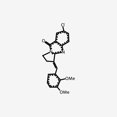 COc1cccc(C=C2CCn3c2nc2ccc(Cl)cc2c3=O)c1OC